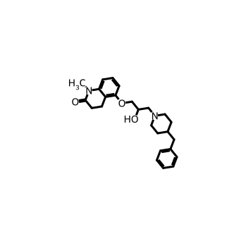 CN1C(=O)CCc2c(OCC(O)CN3CCC(Cc4ccccc4)CC3)cccc21